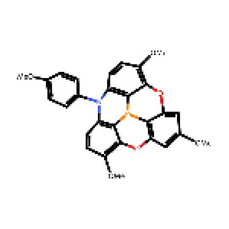 COc1ccc(N2c3ccc(OC)c4c3P3c5c(cc(OC)cc5Oc5c(OC)ccc2c53)O4)cc1